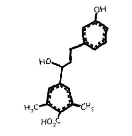 Cc1cc(C(O)CCc2cccc(O)c2)cc(C)c1C(=O)O